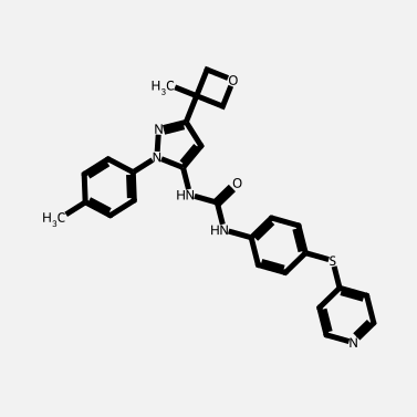 Cc1ccc(-n2nc(C3(C)COC3)cc2NC(=O)Nc2ccc(Sc3ccncc3)cc2)cc1